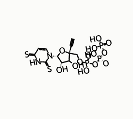 C#C[C@]1(COP(=O)(O)OP(=O)(O)OP(=O)(O)O)O[C@@H](n2ccc(=S)[nH]c2=S)[C@@H](O)C1O